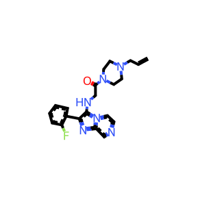 C=CCN1CCN(C(=O)CNc2c(-c3ccccc3F)nc3cnccn23)CC1